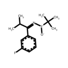 CC(C)/C(=N/[S+]([O-])C(C)(C)C)c1cccc(F)c1